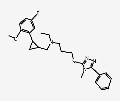 CCN(CCCSc1nnc(-c2ccccc2)n1C)CC1CC1c1cc(F)ccc1OC